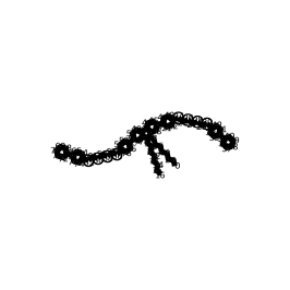 CCCCCCCCC1(CCCCCCCC)c2cc(-c3ccc(OCOCOCOc4ccc(-c5ccccc5)cc4)cc3)ccc2-c2ccc(-c3ccc(OCOCOCOc4ccc(-c5ccccc5)cc4)cc3)cc21